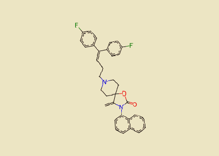 C=C1N(c2cccc3ccccc23)C(=O)OC12CCN(CCC=C(c1ccc(F)cc1)c1ccc(F)cc1)CC2